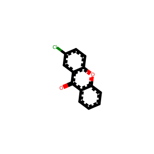 O=c1c2ccccc2oc2ccc(Cl)cc12